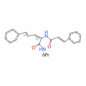 CCCNC(=O)/C(=C\C=C\c1ccccc1)NC(=O)C=Cc1ccccc1